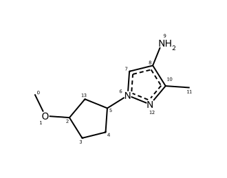 COC1CCC(n2cc(N)c(C)n2)C1